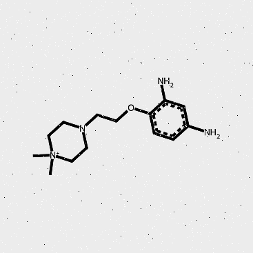 C[N+]1(C)CCN(CCOc2ccc(N)cc2N)CC1